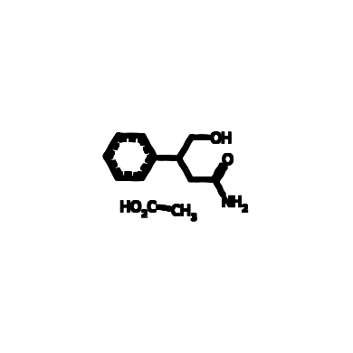 CC(=O)O.NC(=O)CC(CO)c1ccccc1